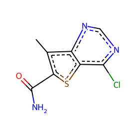 Cc1c(C(N)=O)sc2c(Cl)ncnc12